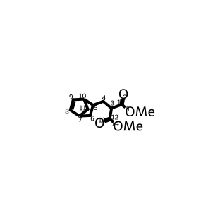 COC(=O)C(CC1CC2C=CC1C2)C(=O)OC